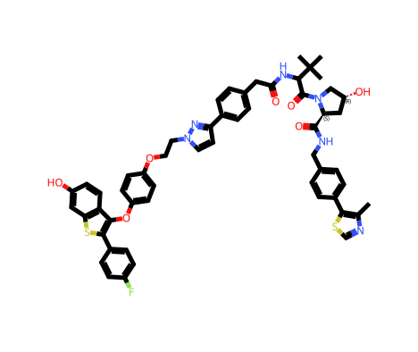 Cc1ncsc1-c1ccc(CNC(=O)[C@@H]2C[C@@H](O)CN2C(=O)C(NC(=O)Cc2ccc(-c3ccn(CCOc4ccc(Oc5c(-c6ccc(F)cc6)sc6cc(O)ccc56)cc4)n3)cc2)C(C)(C)C)cc1